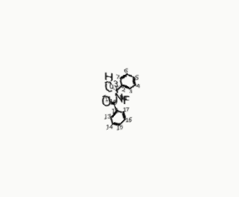 C[C@H](c1ccccc1)N(F)C(=O)c1ccccc1